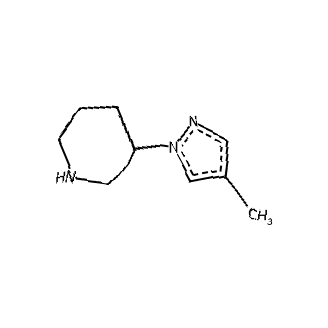 Cc1cnn(C2CCCNC2)c1